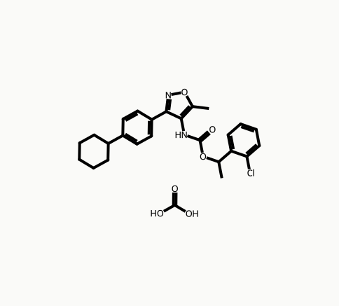 Cc1onc(-c2ccc(C3CCCCC3)cc2)c1NC(=O)OC(C)c1ccccc1Cl.O=C(O)O